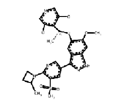 COc1cc2[nH]nc(-c3cnc(N4CCC4C)c(S(C)(=O)=O)c3)c2cc1O[C@H](C)c1c(Cl)cncc1Cl